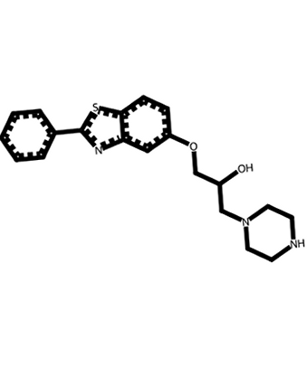 OC(COc1ccc2sc(-c3ccccc3)nc2c1)CN1CCNCC1